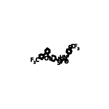 O=C(NCc1ccc(OC(F)(F)F)cc1)c1csc(C2CCN(C(=O)c3ccccc3-c3ccc(C(F)(F)F)cc3)CC2)n1